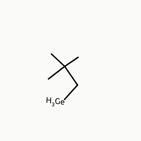 CC(C)(C)[CH2][GeH3]